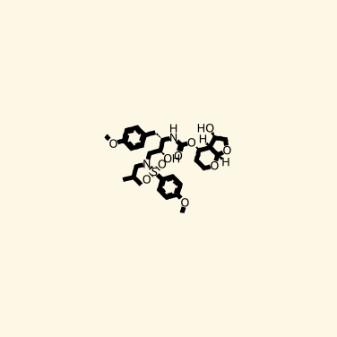 COc1ccc(C[C@H](NC(=O)O[C@H]2CCO[C@H]3OC[C@H](O)[C@H]32)[C@H](O)CN(CC(C)C)S(=O)(=O)c2ccc(OC)cc2)cc1